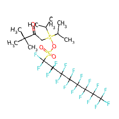 CC(C)S(CC(=O)C(C)(C)C)(OS(=O)(=O)C(F)(F)C(F)(F)C(F)(F)C(F)(F)C(F)(F)C(F)(F)C(F)(F)C(F)(F)F)C(C)C